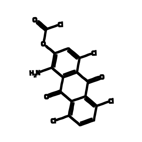 Nc1c(OC(=O)Cl)cc(Cl)c2c1C(=O)c1c(Cl)ccc(Cl)c1C2=O